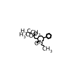 CCCN1CC(c2ccccc2)CCC(CC(=O)OC(C)(C)C)C1=O